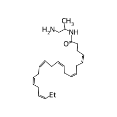 CC/C=C\C/C=C\C/C=C\C/C=C\C/C=C\C/C=C\CCC(=O)NC(C)CN